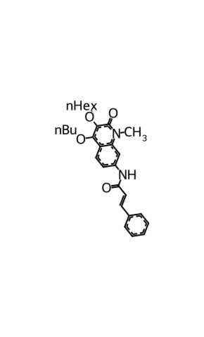 CCCCCCOc1c(OCCCC)c2ccc(NC(=O)C=Cc3ccccc3)cc2n(C)c1=O